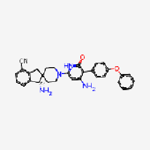 N#Cc1cccc2c1CC1(CCN(c3cc(N)c(-c4ccc(Oc5ccccc5)cc4)c(=O)[nH]3)CC1)[C@@H]2N